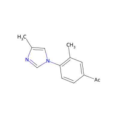 CC(=O)c1ccc(-n2cnc(C)c2)c(C)c1